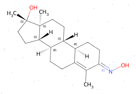 CC1=C2CC[C@@H]3[C@H](CC[C@@]4(C)[C@H]3CC[C@]4(C)O)[C@H]2CC/C1=N\O